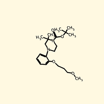 COCCCOc1ccccc1N1CCN(C(=O)OC(C)(C)C)C(C)(C)C1